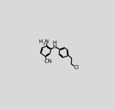 N#Cc1ccc(N)c(Nc2ccc(CCCl)cc2)c1